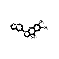 Cc1cc2c(cc1C)C(=O)[C@]1(O)CCN(c3ccn4nccc4c3)C1=N2